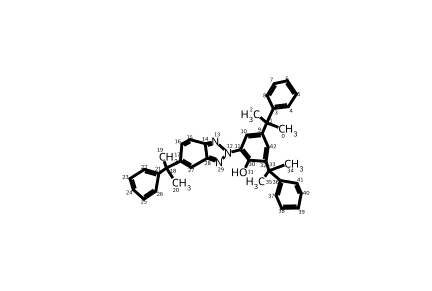 CC(C)(c1ccccc1)c1cc(-n2nc3ccc(C(C)(C)c4ccccc4)cc3n2)c(O)c(C(C)(C)c2ccccc2)c1